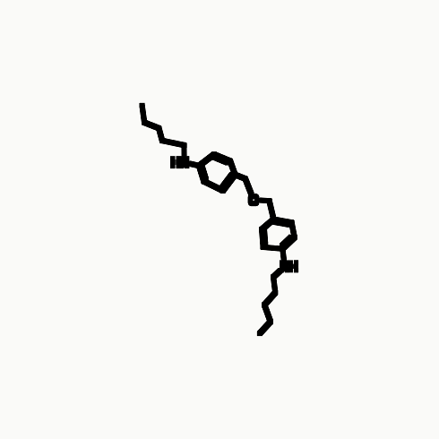 CCCCCNc1ccc(COCc2ccc(NCCCCC)cc2)cc1